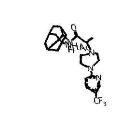 CC(=O)NC12CC3CC(C1)C(NC(=O)C(C)N1CCN(c4ccc(C(F)(F)F)cn4)CC1)C(C3)C2